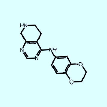 c1nc2c(c(Nc3ccc4c(c3)OCCO4)n1)CCNC2